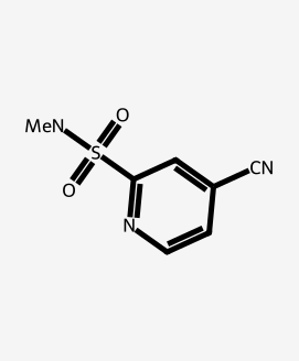 CNS(=O)(=O)c1cc(C#N)ccn1